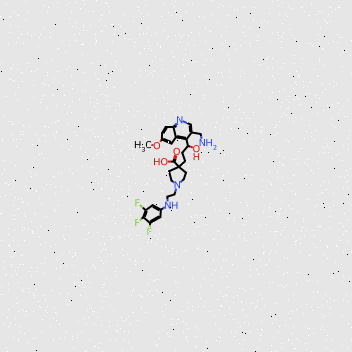 COc1ccc2ncc(CN)c(C(O)CCC3(C(=O)O)CCN(CCNc4cc(F)c(F)c(F)c4)CC3)c2c1